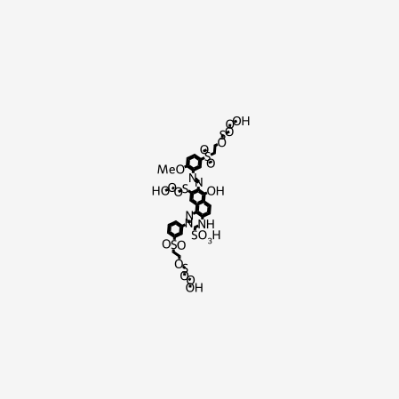 COc1ccc(S(=O)(=O)CCOSOOO)cc1/N=N/c1c(SOOO)cc2c(/N=N/c3cccc(S(=O)(=O)CCOSOOO)c3)c(NCS(=O)(=O)O)ccc2c1O